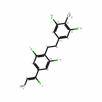 CCCC=C(F)c1cc(F)c(CCc2cc(F)c(C(F)(F)F)c(F)c2)c(F)c1